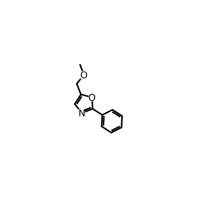 COCc1cnc(-c2ccccc2)o1